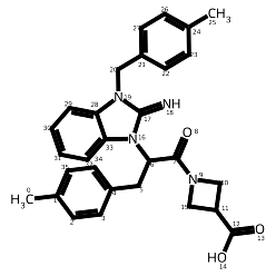 Cc1ccc(CC(C(=O)N2CC(C(=O)O)C2)n2c(=N)n(Cc3ccc(C)cc3)c3ccccc32)cc1